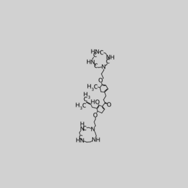 CC(C)=CCC1=C(O)C(C(=O)CCC2=CC=C(OCCCN3CCNCCNCCNCC3)C(C)C2)=CCC1OCCCN1CCNCCNCCNCC1